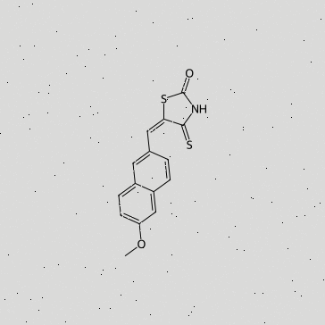 COc1ccc2cc(C=C3SC(=O)NC3=S)ccc2c1